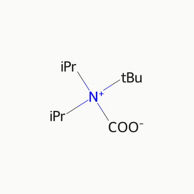 CC(C)[N+](C(=O)[O-])(C(C)C)C(C)(C)C